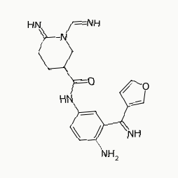 N=CN1CC(C(=O)Nc2ccc(N)c(C(=N)c3ccoc3)c2)CCC1=N